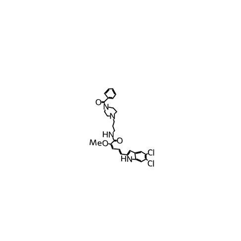 COC(=CC=Cc1cc2cc(Cl)c(Cl)cc2[nH]1)C(=O)NCCCN1CCN(C(=O)c2ccccc2)CC1